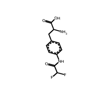 NC(Cc1ccc(NC(=O)C(F)F)cc1)C(=O)O